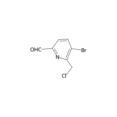 O=Cc1ccc(Br)c(CCl)n1